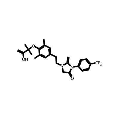 C=C1N(CCc2cc(C)c(OC(C)(C)C(=C)O)c(C)c2)CC(=O)N1c1ccc(C(F)(F)F)cc1